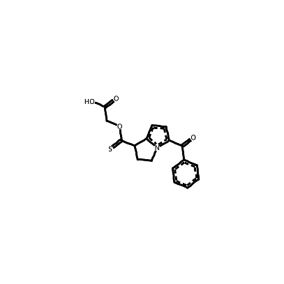 O=C(O)COC(=S)C1CCn2c(C(=O)c3ccccc3)ccc21